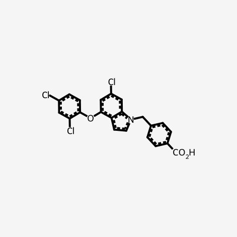 O=C(O)c1ccc(Cn2ccc3c(Oc4ccc(Cl)cc4Cl)cc(Cl)cc32)cc1